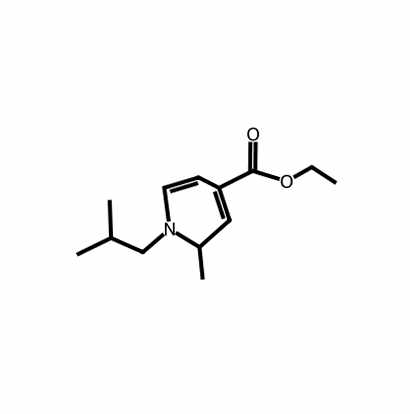 CCOC(=O)C1=CC(C)N(CC(C)C)C=C1